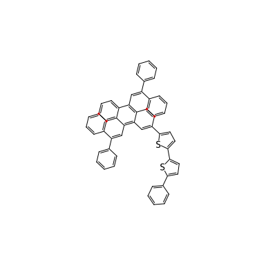 C(=C(c1ccccc1)c1ccccc1)c1c2ccccc2c(C=C(c2ccccc2)c2ccccc2)c2cc(-c3ccc(-c4ccc(-c5ccccc5)s4)s3)ccc12